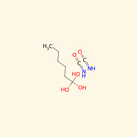 CCCCCC(O)(O)O.N=C=O.N=C=O